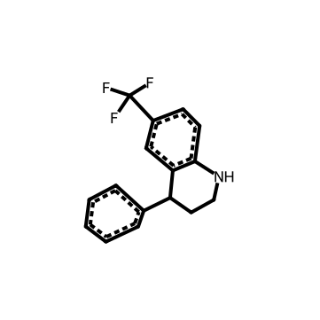 FC(F)(F)c1ccc2c(c1)C(c1ccccc1)CCN2